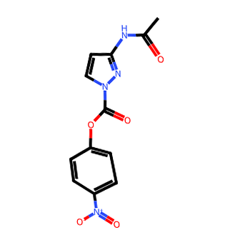 CC(=O)Nc1ccn(C(=O)Oc2ccc([N+](=O)[O-])cc2)n1